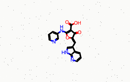 O=C(O)C1=C(Nc2cccnc2)OC(=Cc2c[nH]c3ncccc23)C1=O